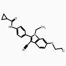 CCn1c(-c2ccc(NC(=O)C3CC3)cc2)c(C#N)c2ccc(OCCCl)cc21